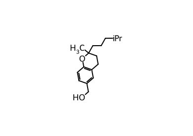 CC(C)CCCC1(C)CCc2cc(CO)ccc2O1